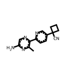 Cc1nc(N)cnc1-c1ccc(C2(C#N)CCC2)cn1